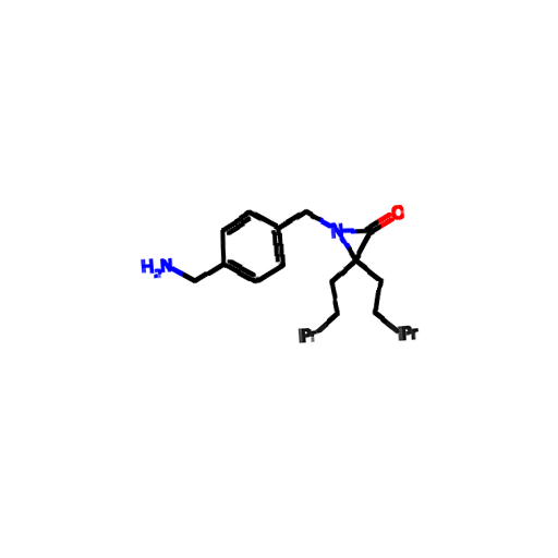 CC(C)CCC1(CCC(C)C)C(=O)N1Cc1ccc(CN)cc1